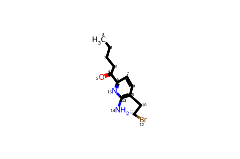 CCCCC(=O)c1ccc(CCBr)c(N)n1